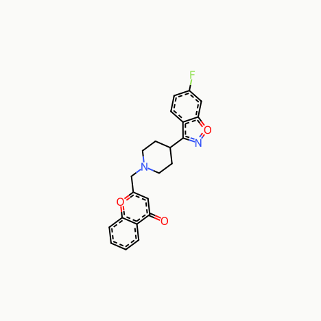 O=c1cc(CN2CCC(c3noc4cc(F)ccc34)CC2)oc2ccccc12